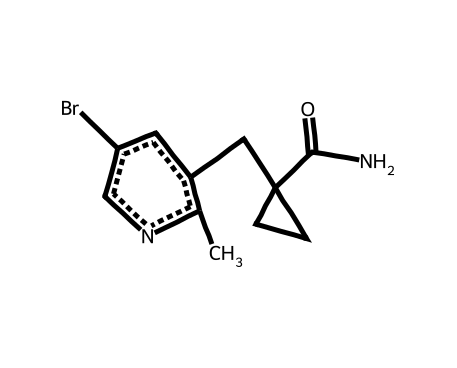 Cc1ncc(Br)cc1CC1(C(N)=O)CC1